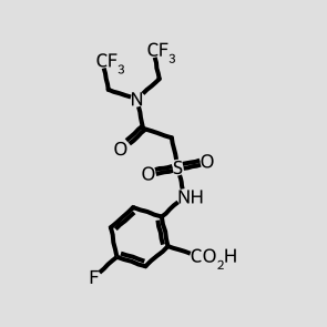 O=C(O)c1cc(F)ccc1NS(=O)(=O)CC(=O)N(CC(F)(F)F)CC(F)(F)F